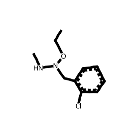 CCON(Cc1ccccc1Cl)NC